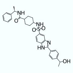 CC(O)c1ccc(-c2nc3cc(S(=O)(=O)NC4CCC(C(=O)N[C@H](C)c5ccccc5)CC4)ccc3[nH]2)cc1